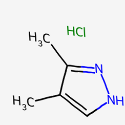 Cc1c[nH]nc1C.Cl